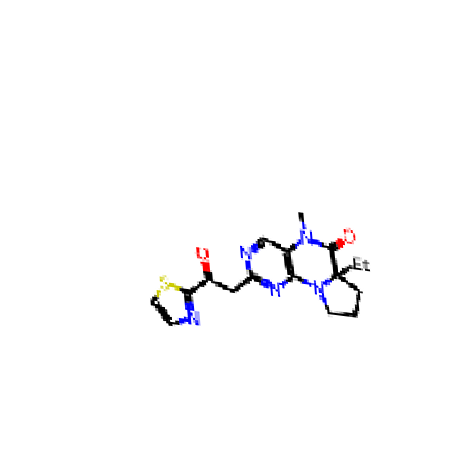 CCC12CCCN1c1nc(CC(=O)c3nccs3)ncc1N(C)C2=O